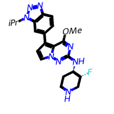 COc1nc(N[C@H]2CCNC[C@H]2F)nn2ccc(-c3ccc4nnn(C(C)C)c4c3)c12